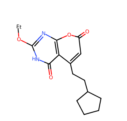 CCOc1nc2oc(=O)cc(CCC3CCCC3)c2c(=O)[nH]1